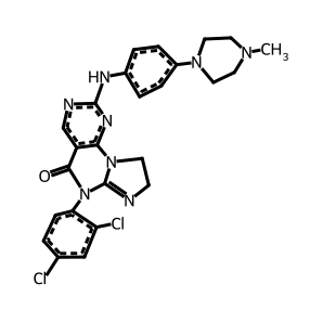 CN1CCN(c2ccc(Nc3ncc4c(n3)N3CCN=C3N(c3ccc(Cl)cc3Cl)C4=O)cc2)CC1